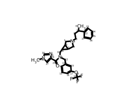 CC(CCN1CC2C(C1)C2CN(Cc1cccc(OC(F)(F)F)c1)C(=O)c1cn(C)cn1)c1ccccc1